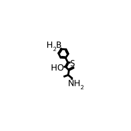 Bc1ccc(-c2scc(C(C)CN)c2O)cc1